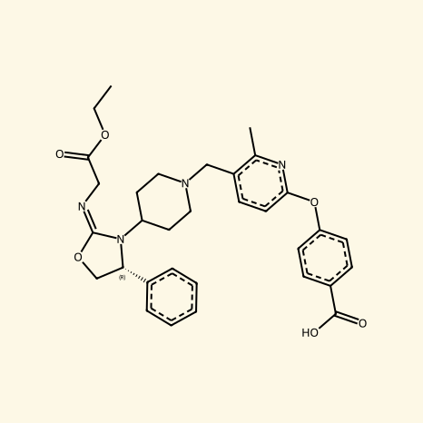 CCOC(=O)CN=C1OC[C@@H](c2ccccc2)N1C1CCN(Cc2ccc(Oc3ccc(C(=O)O)cc3)nc2C)CC1